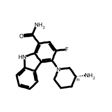 NC(=O)c1cc(F)c(N2CCC[C@@H](N)C2)c2c1[nH]c1ccccc12